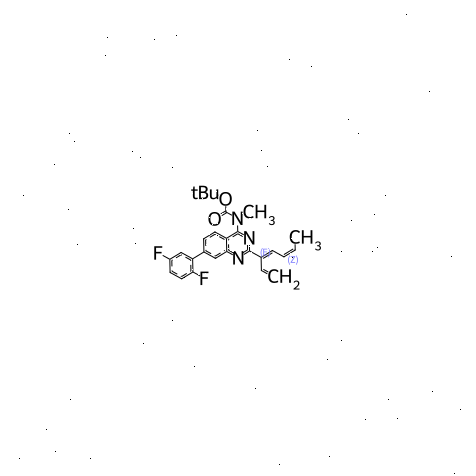 C=C/C(=C\C=C/C)c1nc(N(C)C(=O)OC(C)(C)C)c2ccc(-c3cc(F)ccc3F)cc2n1